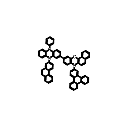 c1ccc(N2c3ccccc3N(c3ccc4c(ccc5ccccc54)c3)c3cc(-c4ccc5c(c4)Oc4c(ccc6ccccc46)N5c4ccc5c6ccccc6c6ccccc6c5c4)ccc32)cc1